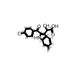 CC(C(=O)O)c1c(C(=O)c2ccc(Cl)cc2)[nH]c2cc(F)ccc12